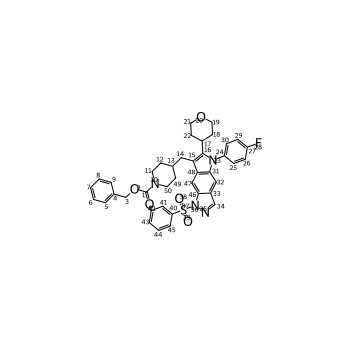 O=C(OCc1ccccc1)N1CCC(Cc2c(C3CCOCC3)n(-c3ccc(F)cc3)c3cc4cnn(S(=O)(=O)c5ccccc5)c4cc23)CC1